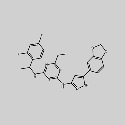 CCc1nc(Nc2cc(-c3ccc4c(c3)OCO4)[nH]n2)nc(NC(C)c2ccc(F)cc2F)n1